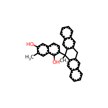 Cc1cc2c(O)c(C3(C)c4cc5ccccc5cc4Cc4cc5ccccc5cc43)ccc2cc1O